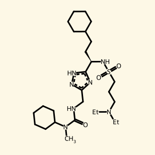 CCN(CC)CCCS(=O)(=O)N[C@H](CCC1CCCCC1)c1nc(CNC(=O)N(C)C2CCCCC2)n[nH]1